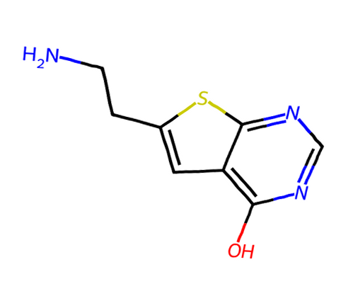 NCCc1cc2c(O)ncnc2s1